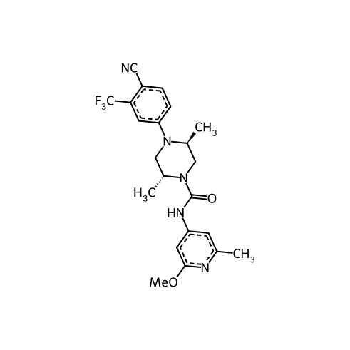 COc1cc(NC(=O)N2C[C@H](C)N(c3ccc(C#N)c(C(F)(F)F)c3)C[C@H]2C)cc(C)n1